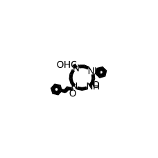 O=CN1CCCCN(C(=O)/C=C/c2ccccc2)CCCNC(=O)C[C@@H](c2ccccc2)NCCC1